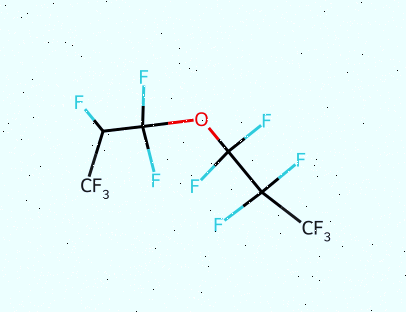 FC(C(F)(F)F)C(F)(F)OC(F)(F)C(F)(F)C(F)(F)F